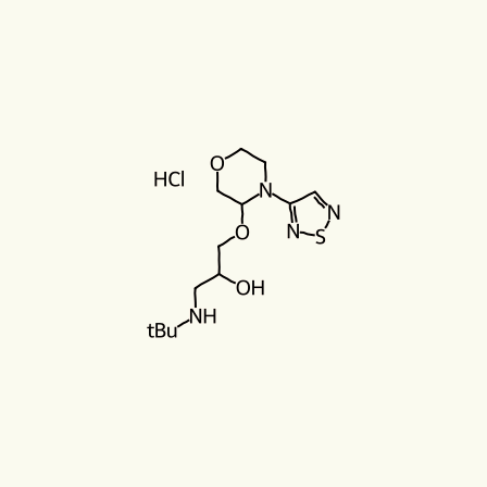 CC(C)(C)NCC(O)COC1COCCN1c1cnsn1.Cl